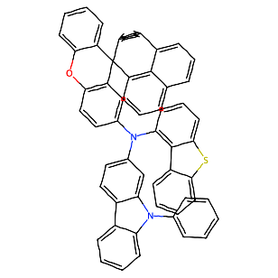 c1ccc(-n2c3ccccc3c3ccc(N(c4ccc5c(c4)C4(c6ccccc6O5)c5ccccc5-c5cccc6cccc4c56)c4cccc5sc6ccccc6c45)cc32)cc1